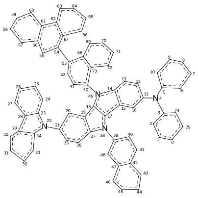 c1ccc(N(c2ccccc2)c2ccc3c(c2)c2c(c4cc(-n5c6ccccc6c6ccccc65)ccc4n2-c2ccc4ccccc4c2)n3-c2ccc(-c3cc4ccccc4c4ccccc34)c3ccccc23)cc1